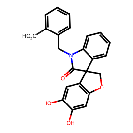 O=C(O)c1ccccc1CN1C(=O)C2(COc3cc(O)c(O)cc32)c2ccccc21